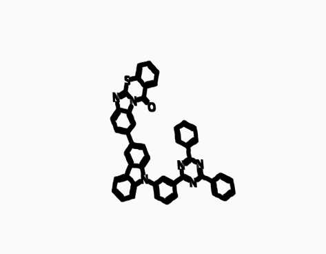 O=c1c2ccccc2sc2nc3ccc(-c4ccc5c(c4)c4ccccc4n5-c4cccc(-c5nc(-c6ccccc6)nc(-c6ccccc6)n5)c4)cc3n12